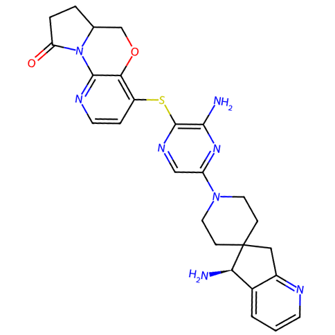 Nc1nc(N2CCC3(CC2)Cc2ncccc2[C@H]3N)cnc1Sc1ccnc2c1OCC1CCC(=O)N21